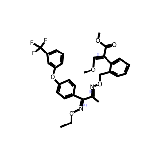 CCO/N=C(/C(C)=N/OCc1ccccc1/C(=C\OC)C(=O)OC)c1ccc(Oc2cccc(C(F)(F)F)c2)cc1